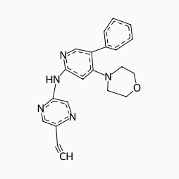 C#Cc1cnc(Nc2cc(N3CCOCC3)c(-c3ccccc3)cn2)cn1